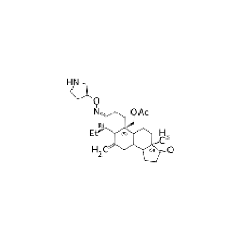 C=C1CC2C(CC[C@]3(C)C(=O)CCC23)[C@@]2(COC(C)=O)CCC(=NOC3CCNC3)[C@H](CC)C12